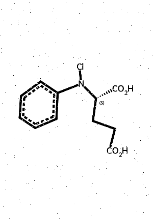 O=C(O)CC[C@@H](C(=O)O)N(Cl)c1ccccc1